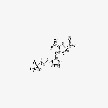 NS(=O)(=O)NCCn1nnnc1Sc1ccc([N+](=O)[O-])cc1[N+](=O)[O-]